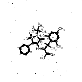 Cc1cc(C)c(C(C)(C)C(NC2=C(c3ccccc3)S(=O)(=O)N(C(C)(C)C)C2=O)C(=O)O)c(C)c1